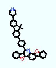 CC1(C)c2cc(-c3ccncc3)ccc2-c2ccc(-c3ccc(-c4nc5c(ccc6c7ccccc7oc65)c5oc6ccccc6c45)cc3)cc21